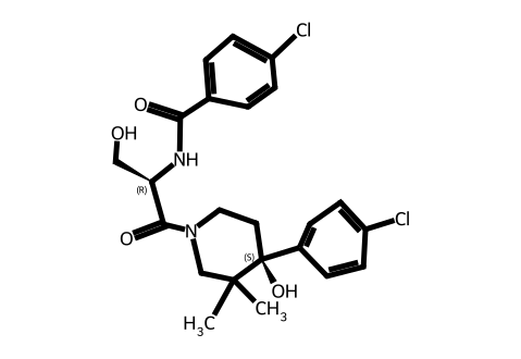 CC1(C)CN(C(=O)[C@@H](CO)NC(=O)c2ccc(Cl)cc2)CC[C@]1(O)c1ccc(Cl)cc1